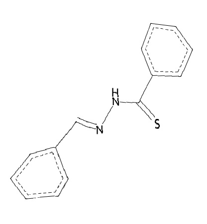 S=C(NN=Cc1ccccc1)c1ccccc1